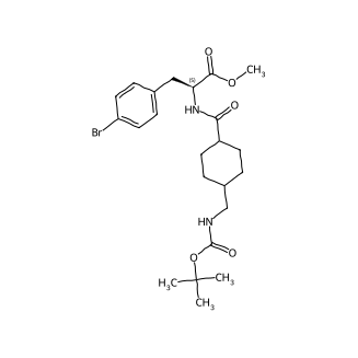 COC(=O)[C@H](Cc1ccc(Br)cc1)NC(=O)C1CCC(CNC(=O)OC(C)(C)C)CC1